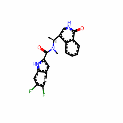 C[C@@H](c1c[nH]c(=O)c2ccccc12)N(C)C(=O)c1cc2cc(F)c(F)cc2[nH]1